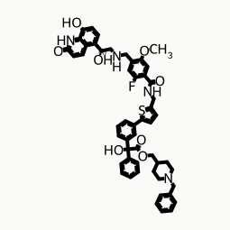 COc1cc(C(=O)NCc2ccc(-c3cccc(C(O)(C(=O)OCC4CCN(Cc5ccccc5)CC4)c4ccccc4)c3)s2)c(F)cc1CNC[C@H](O)c1ccc(O)c2[nH]c(=O)ccc12